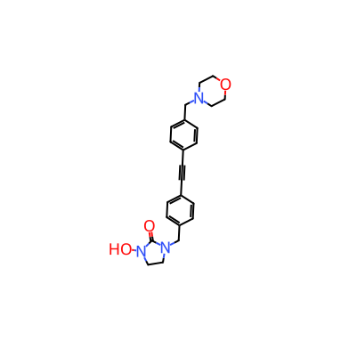 O=C1N(O)CCN1Cc1ccc(C#Cc2ccc(CN3CCOCC3)cc2)cc1